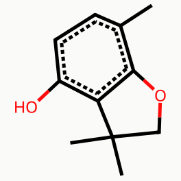 Cc1ccc(O)c2c1OCC2(C)C